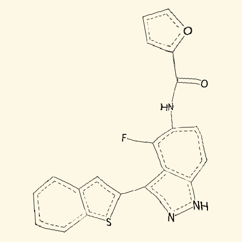 O=C(Nc1ccc2[nH]nc(-c3cc4ccccc4s3)c2c1F)c1ccco1